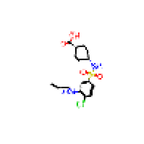 CCCNc1cc(S(=O)(=O)N[C@H]2CC[C@H](C(=O)O)CC2)ccc1Cl